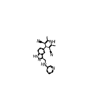 CC1=C(C#N)C(c2ccc3[nH]nc(CNc4cccnc4)c3c2)C(C#N)=C(C)N1